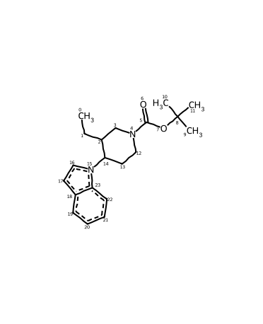 CCC1CN(C(=O)OC(C)(C)C)CCC1n1ccc2ccccc21